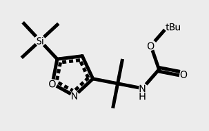 CC(C)(C)OC(=O)NC(C)(C)c1cc([Si](C)(C)C)on1